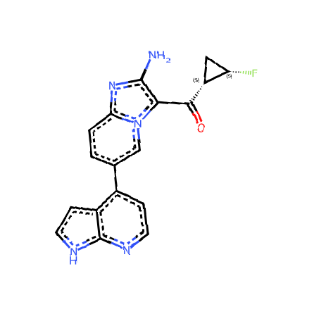 Nc1nc2ccc(-c3ccnc4[nH]ccc34)cn2c1C(=O)[C@@H]1C[C@@H]1F